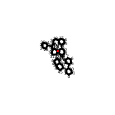 c1ccc(-c2cccc(N(c3ccc(-c4cccc5ccc6c(-c7ccccc7)c7ccccc7n6c45)cc3)c3cccc4ccccc34)c2)cc1